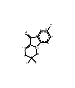 CC1(C)CN=C2C(=O)c3cc(Cl)ccc3N2C1